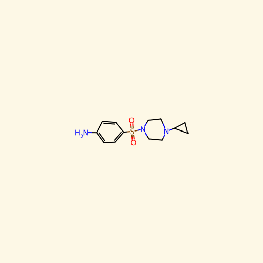 Nc1ccc(S(=O)(=O)N2CCN(C3CC3)CC2)cc1